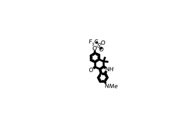 CNc1ccc2c3c([nH]c2c1)C(C)(C)c1cc(OS(=O)(=O)C(F)(F)F)ccc1C3=O